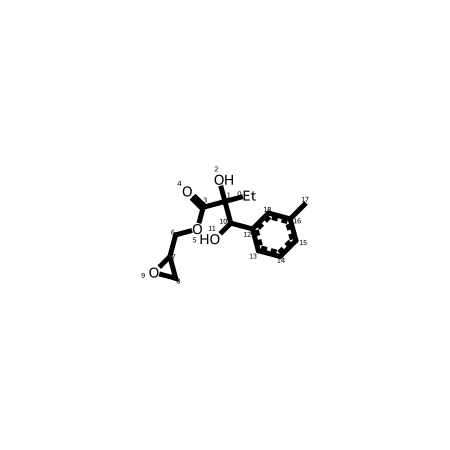 CCC(O)(C(=O)OCC1CO1)C(O)c1cccc(C)c1